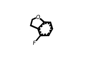 Fc1cccc2c1CCO2